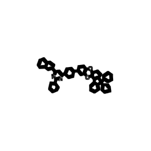 c1ccc(-c2nc(-c3ccc(-c4ccc5c(c4)Oc4c(ccc6c4-c4ccccc4C6(c4ccccc4)c4ccccc4)O5)cc3)cc(-c3ccc4ccccc4c3)n2)cc1